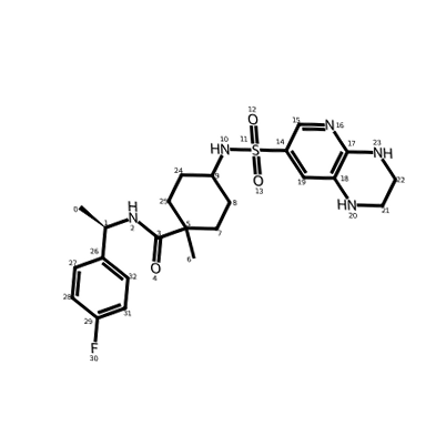 C[C@@H](NC(=O)C1(C)CCC(NS(=O)(=O)c2cnc3c(c2)NCCN3)CC1)c1ccc(F)cc1